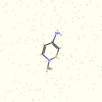 CC(C)(C)N1C=CC(N)=CS1